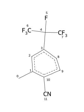 Cc1cc(C(F)(C(F)(F)F)C(F)(F)F)ccc1C#N